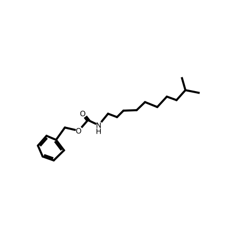 CC(C)CCCCCCCCNC(=O)OCc1ccccc1